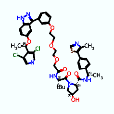 Cc1ncsc1-c1ccc([C@H](C)NC(=O)[C@@H]2C[C@@H](O)CN2C(=O)[C@@H](NC(=O)COCCOCCOc2cccc(-c3n[nH]c4ccc(O[C@H](C)c5c(Cl)cncc5Cl)cc34)c2)C(C)(C)C)cc1